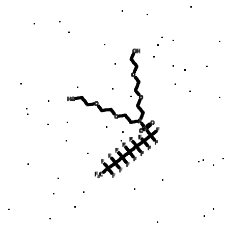 O=S(=O)(N(CCOCCOCCO)CCOCCOCCO)C(F)(F)C(F)(F)C(F)(F)C(F)(F)C(F)(F)C(F)(F)C(F)(F)C(F)(F)F